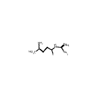 N=C(N)NC(F)CCC(N)C(=O)O